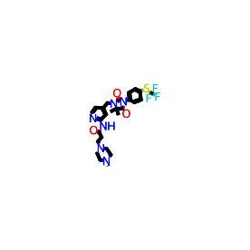 CN1CCN(CCC(=O)Nc2cc(CN3C(=O)N(c4ccc(SC(F)(F)F)cc4)C(=O)C3(C)C)ccn2)CC1